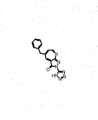 O=c1c2cc(Cc3ccccc3)ccnc-2nn1-c1nnn[nH]1